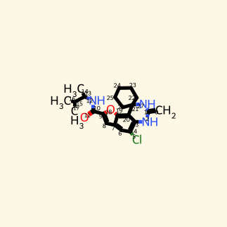 C=C1Nc2c(Cl)cc3cc(C(=O)NC(C)C(C)C)oc3c2C2(CCCCC2)N1